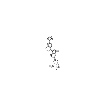 C[C@@H]1OCC2(CCN(c3cnc4c(N5CCCc6nc(-c7ncon7)ccc65)n[nH]c4n3)CC2)[C@@H]1N